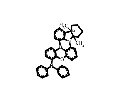 CC12CCCC[C@@]1(C)c1cccc3c1N2c1cccc2c1B3c1cccc(N(c3ccccc3)c3ccccc3)c1O2